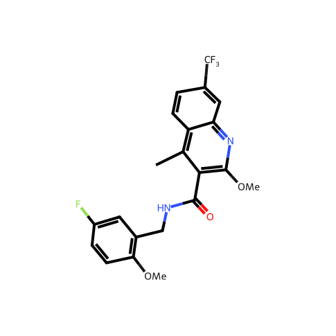 COc1ccc(F)cc1CNC(=O)c1c(OC)nc2cc(C(F)(F)F)ccc2c1C